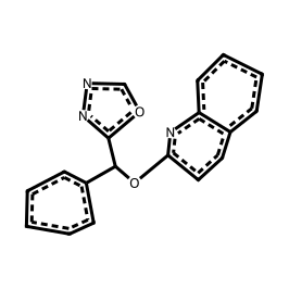 c1ccc(C(Oc2ccc3ccccc3n2)c2nnco2)cc1